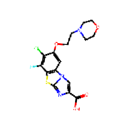 O=C(O)c1cn2c(n1)sc1c(F)c(Cl)c(OCCN3CCOCC3)cc12